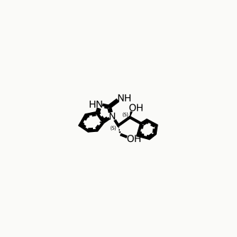 N=c1[nH]c2ccccc2n1[C@@H](CO)[C@@H](O)c1ccccc1